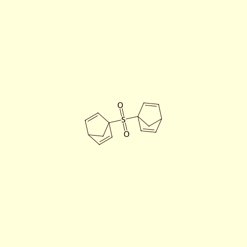 O=S(=O)(C12C=CC(C=C1)C2)C12C=CC(C=C1)C2